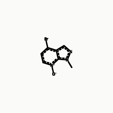 Cn1ncc2c(Br)cc[n+]([O-])c21